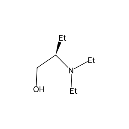 CC[C@H](CO)N(CC)CC